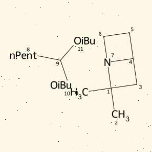 CC1(C)CC2CCN21.CCCCCC(OCC(C)C)OCC(C)C